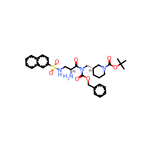 CC(C)(C)OC(=O)N1CCC[C@H](CN(C(=O)OCc2ccccc2)C(=O)[C@@H](N)CNS(=O)(=O)c2ccc3ccccc3c2)C1